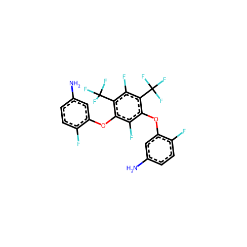 Nc1ccc(F)c(Oc2c(F)c(Oc3cc(N)ccc3F)c(C(F)(F)F)c(F)c2C(F)(F)F)c1